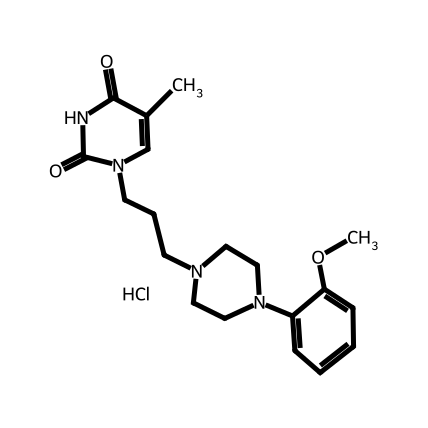 COc1ccccc1N1CCN(CCCn2cc(C)c(=O)[nH]c2=O)CC1.Cl